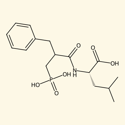 CC(C)C[C@H](NC(=O)C(Cc1ccccc1)CP(=O)(O)O)C(=O)O